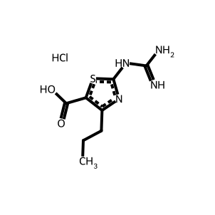 CCCc1nc(NC(=N)N)sc1C(=O)O.Cl